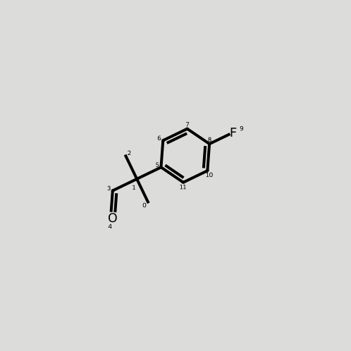 CC(C)(C=O)c1ccc(F)cc1